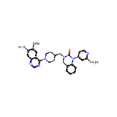 CCOC(=O)c1cc(N2C(=O)N(CC3CCN(c4ncnc5cc(OC)c(OC)cc45)CC3)Cc3ccccc32)ccn1